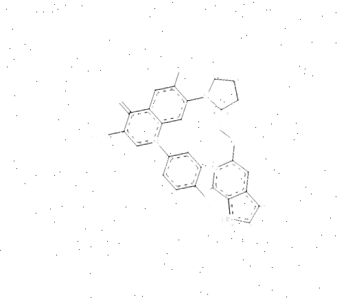 O=C(O)c1cn(-c2ccc(O)cc2)c2cc(N3CCC[C@@H]3COc3cc4cc[nH]c4cn3)c(F)cc2c1=O